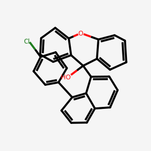 OC1(c2cccc3cccc(-c4ccc(Cl)cc4)c23)c2ccccc2Oc2ccccc21